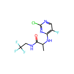 CC(Nc1nc(Cl)ncc1F)C(=O)NCC(F)(F)F